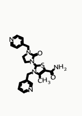 CC1=C(C(N)=O)SC(N2CCN(Cc3ccncc3)C2=O)N1Cc1cccnc1